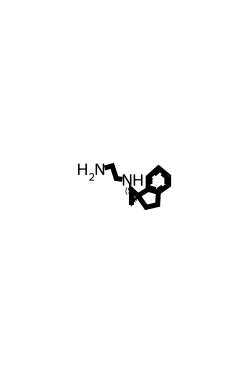 NCCN[C@H]1C[C@@]12CCc1ccccc12